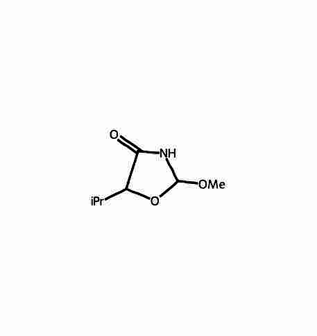 COC1NC(=O)C(C(C)C)O1